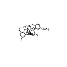 COc1ccc(CN(CC2C3CCc4cc(I)ccc4C32S(=O)(=O)c2ccc(F)cc2)C(=O)OC(C)(C)C)cc1